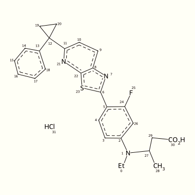 CCN(c1ccc(-c2nc3ccc(C4(c5ccccc5)CC4)nc3s2)c(F)c1)C(C)CC(=O)O.Cl